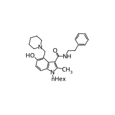 CCCCCCn1c(C)c(C(=O)NCCc2ccccc2)c2c(CN3CCCCC3)c(O)ccc21